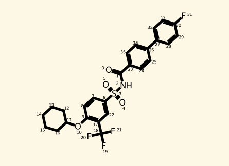 O=C(NS(=O)(=O)c1ccc(OC2CCCCC2)c(C(F)(F)F)c1)c1ccc(-c2ccc(F)cc2)cc1